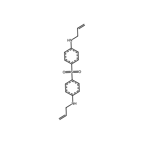 C=CCNc1ccc(S(=O)(=O)c2ccc(NCC=C)cc2)cc1